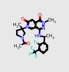 CC(=O)N1CCC(C)(n2cc3c(N[C@H](C)c4cccc(C(F)(F)F)c4F)nn(C)c(=O)c3cc2=O)C1